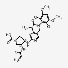 C=CC(=O)N[C@H]1C[C@H](C(=O)O)CC[C@H]1Nc1ncc2c(n1)N(C)C(=O)N(c1c(Cl)c(OC)cc(OC)c1Cl)C2